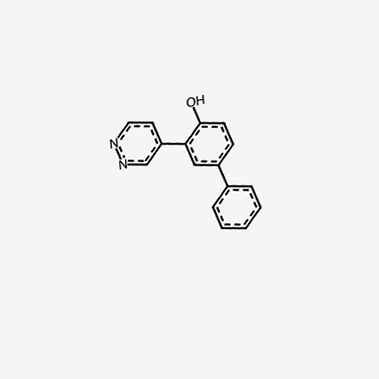 Oc1ccc(-c2ccccc2)cc1-c1ccnnc1